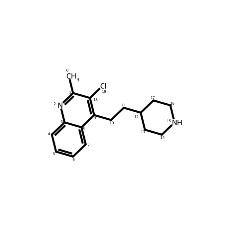 Cc1nc2ccccc2c(CCC2CCNCC2)c1Cl